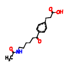 CC(=O)NCCCCCC(=O)c1ccc(CCC(=O)O)cc1